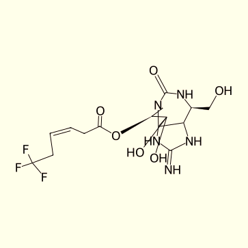 N=C1NC2[C@H](CO)NC(=O)N3C[C@H](OC(=O)C/C=C\CC(F)(F)F)C(O)(O)C23N1